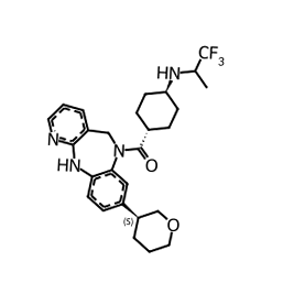 CC(N[C@H]1CC[C@H](C(=O)N2Cc3cccnc3Nc3ccc([C@@H]4CCCOC4)cc32)CC1)C(F)(F)F